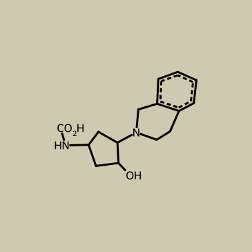 O=C(O)NC1CC(O)C(N2CCc3ccccc3C2)C1